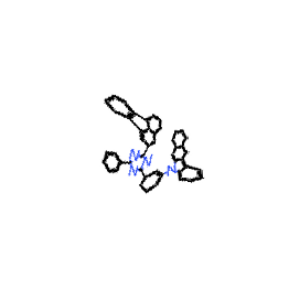 c1ccc(-c2nc(-c3cccc(-n4c5ccccc5c5cc6ccccc6cc54)c3)nc(-c3cc4c5c(cccc5c3)-c3ccccc3-4)n2)cc1